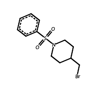 O=S(=O)(c1ccccc1)N1CCC(CBr)CC1